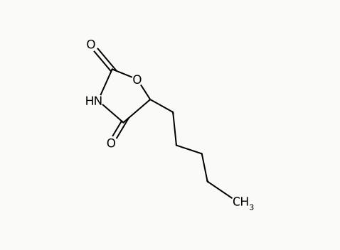 CCCCCC1OC(=O)NC1=O